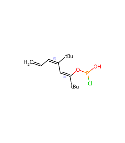 C=C/C=C(\C=C(/OP(O)Cl)C(C)(C)C)C(C)(C)C